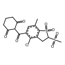 Cc1cc(C(=O)C2C(=O)CCCC2=O)c(Cl)c2c1S(=O)(=O)C(S(C)(=O)=O)C2